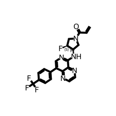 C=CC(=O)N1C[C@H](F)[C@H](Nc2ncc(-c3ccc(C(F)(F)F)cc3)c3nccnc23)C1